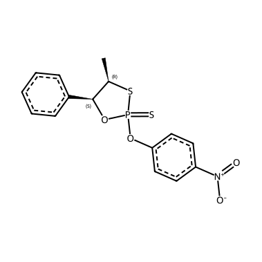 C[C@H]1SP(=S)(Oc2ccc([N+](=O)[O-])cc2)O[C@H]1c1ccccc1